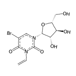 C=Cn1c(=O)c(Br)cn([C@@H]2O[C@H](CO)[C@@H](O)[C@@H]2O)c1=O